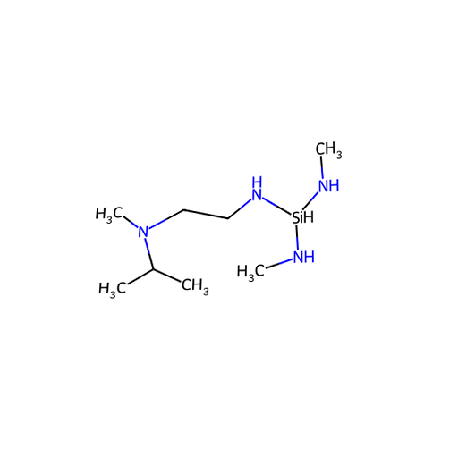 CN[SiH](NC)NCCN(C)C(C)C